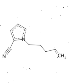 C=CCCCn1cccc1C#N